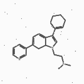 CN(C)CCN1C=C(C2=CCCCC2)C2=CC=C(c3cccnc3)CC21